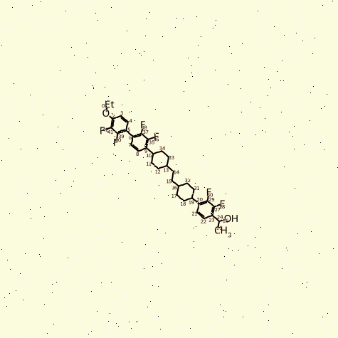 CCOc1ccc(-c2ccc(C3CCC(CCC4CCC(c5ccc(C(C)O)c(F)c5F)CC4)CC3)c(F)c2F)c(F)c1F